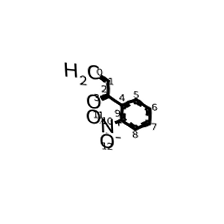 C=CC(=O)c1ccccc1[N+](=O)[O-]